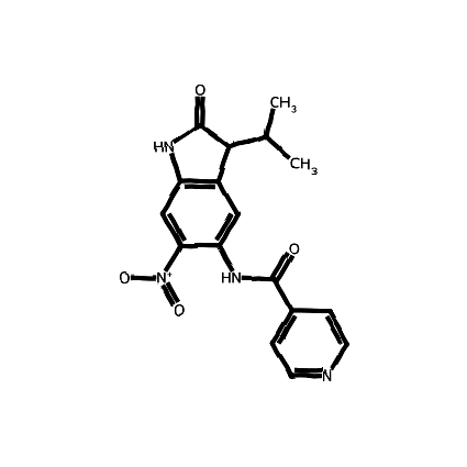 CC(C)C1C(=O)Nc2cc([N+](=O)[O-])c(NC(=O)c3ccncc3)cc21